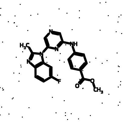 COC(=O)c1ccc(Nc2cncc(-n3c(C)nc4ccc(F)cc43)n2)cc1